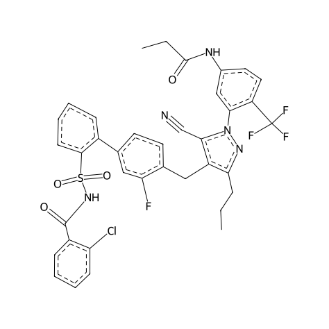 CCCc1nn(-c2cc(NC(=O)CC)ccc2C(F)(F)F)c(C#N)c1Cc1ccc(-c2ccccc2S(=O)(=O)NC(=O)c2ccccc2Cl)cc1F